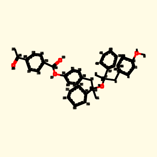 COc1ccc(C[Si](C)(O[Si](C)(Cc2ccc(OC(=O)c3ccc(C(C)=O)cc3)cc2)c2ccccc2)c2ccccc2)cc1